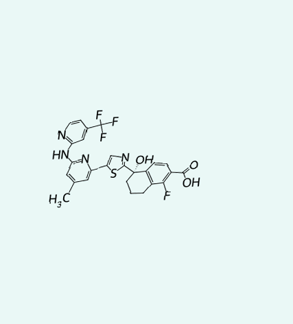 Cc1cc(Nc2cc(C(F)(F)F)ccn2)nc(-c2cnc([C@]3(O)CCCc4c3ccc(C(=O)O)c4F)s2)c1